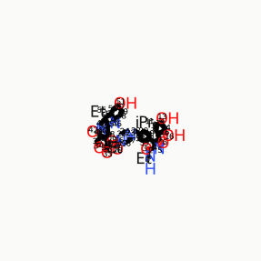 CCNC(=O)c1noc(-c2cc(C(C)C)c(O)cc2O)c1-c1ccc(CN2CCN(C(=O)OC3(CC)C(=O)OCc4c3cc3n(c4=O)Cc4c-3nc3ccc(O)cc3c4CC)CC2)cc1